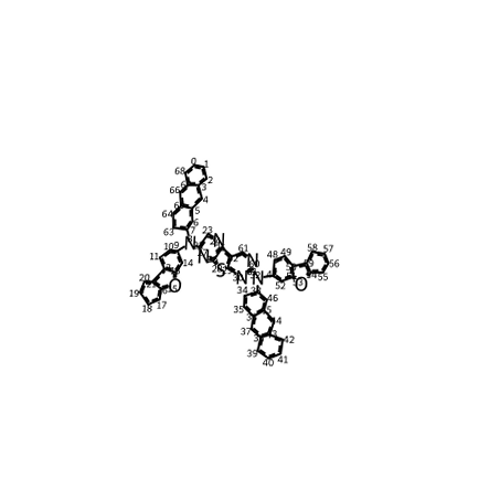 c1ccc2cc3cc(N(c4ccc5c(c4)oc4ccccc45)c4cnc5c(n4)sc4nc(N(c6ccc7cc8ccccc8cc7c6)c6ccc7c(c6)oc6ccccc67)ncc45)ccc3cc2c1